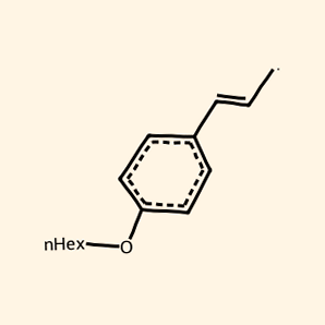 [CH2]/C=C/c1ccc(OCCCCCC)cc1